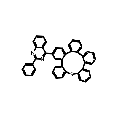 c1ccc(-c2nc(-c3ccc4c(c3)-c3ccccc3Sc3ccccc3-c3ccccc3-c3ccccc3-4)c3ccccc3n2)cc1